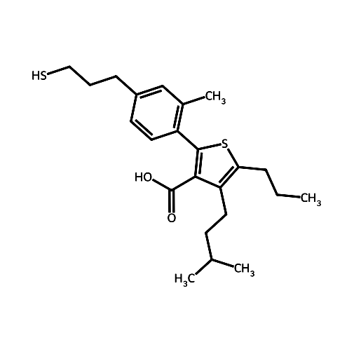 CCCc1sc(-c2ccc(CCCS)cc2C)c(C(=O)O)c1CCC(C)C